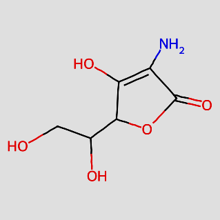 NC1=C(O)C(C(O)CO)OC1=O